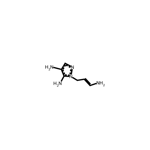 NC=CCn1ncc(N)c1N